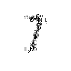 CC(C)(C)C(=O)ON=C(ON=C(N)c1ccc(OCCCC2CCN(CCCOc3ccc(C(N)=O)cc3)CC2)cc1)C(C)(C)C